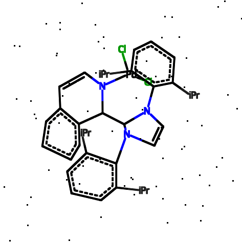 CC(C)c1cccc(C(C)C)c1N1C=CN(c2c(C(C)C)cccc2C(C)C)C1C1c2ccccc2C=C[N]1[Pd-]([Cl])[Cl]